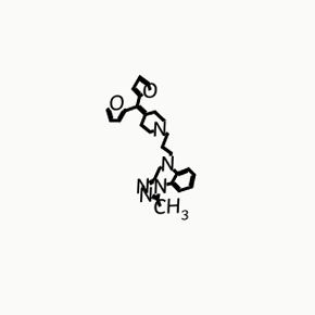 Cc1nnc2n1-c1ccccc1N(CCCN1CCC(=C(c3ccco3)c3ccco3)CC1)C2